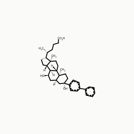 C[C@H](CCCC(=O)O)[C@H]1CC[C@H]2[C@@H]3[C@H](O)C[C@@H]4C[C@](O)(c5ccc(-c6ccccc6)cc5)CC[C@]4(C)[C@H]3CC[C@]12C